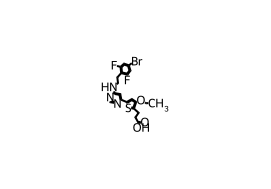 CCOc1cc(-c2cc(NCCc3c(F)cc(Br)cc3F)ncn2)sc1CCC(=O)O